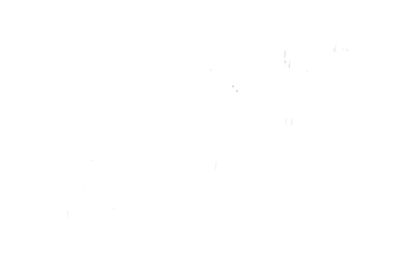 C=C/C(=C\N=C(/C)NC(=O)CCCCC)c1cc2c(cc1Cl)OC(F)(F)O2